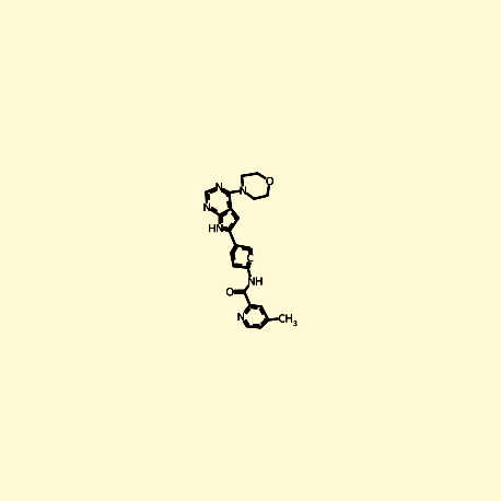 Cc1ccnc(C(=O)Nc2ccc(-c3cc4c(N5CCOCC5)ncnc4[nH]3)cc2)c1